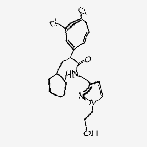 O=C(Nc1ccn(CCO)n1)C(CC1CCCC1)c1ccc(Cl)c(Cl)c1